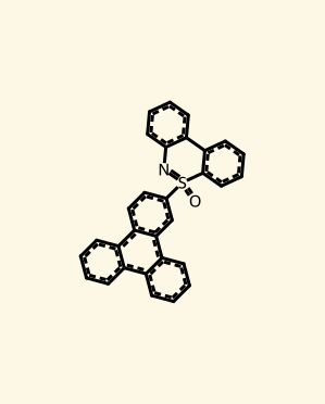 O=S1(c2ccc3c4ccccc4c4ccccc4c3c2)=Nc2ccccc2-c2ccccc21